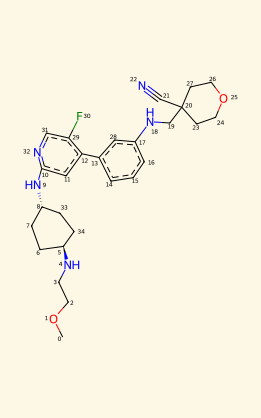 COCCN[C@H]1CC[C@H](Nc2cc(-c3cccc(NCC4(C#N)CCOCC4)c3)c(F)cn2)CC1